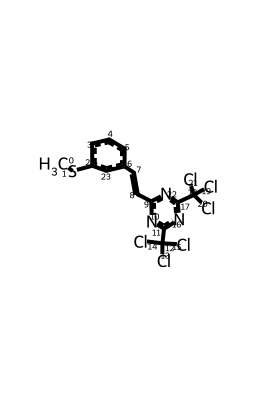 CSc1cccc(C=Cc2nc(C(Cl)(Cl)Cl)nc(C(Cl)(Cl)Cl)n2)c1